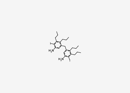 CCCc1c(Cc2cc(N)c(I)c(CCC)c2CCC)cc(N)c(I)c1CCC